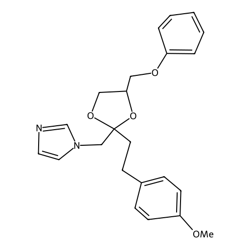 COc1ccc(CCC2(Cn3ccnc3)OCC(COc3ccccc3)O2)cc1